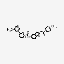 Cc1cncc(-c2cccc(C(=O)Nc3ccc4nn(CC(=O)N5CCN(C)CC5)cc4c3)n2)c1